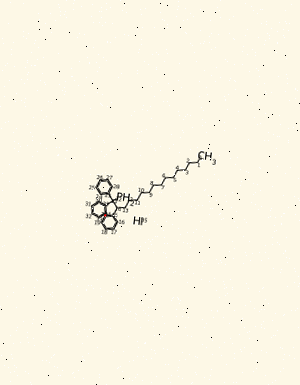 CCCCCCCCCCCCCCC(c1ccccc1)C(P)(c1ccccc1)c1ccccc1.I